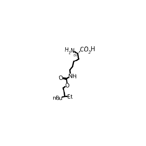 CCCCC(CC)COC(=O)NCCCC[C@H](N)C(=O)O